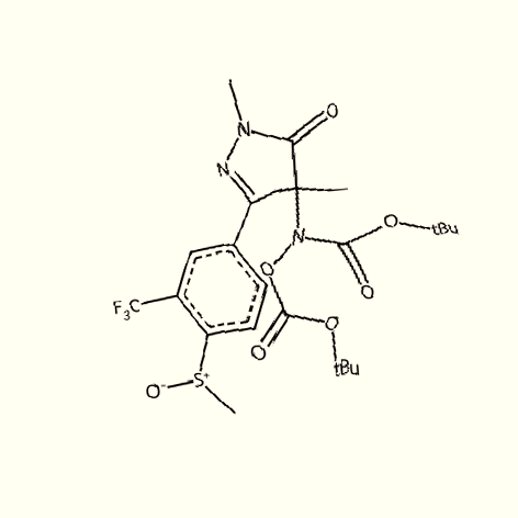 CN1N=C(c2ccc([S+](C)[O-])c(C(F)(F)F)c2)C(C)(N(OC(=O)OC(C)(C)C)C(=O)OC(C)(C)C)C1=O